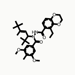 CCc1c(C(=O)NN(C(=O)c2cc(OC)c(C)c(OC)c2)C(C=C(C)C(C)(C)C)C(C)(C)C)ccc2c1OCCO2